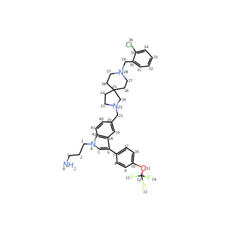 NCCCn1cc(-c2ccc(OC(F)(F)F)cc2)c2cc(CN3CCC4(CCN(Cc5ccccc5Cl)CC4)C3)ccc21